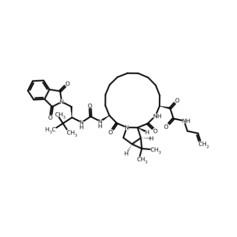 C=CCNC(=O)C(=O)[C@@H]1CCCCCCCCC[C@H](NC(=O)N[C@H](CN2C(=O)c3ccccc3C2=O)C(C)(C)C)C(=O)N2C[C@H]3[C@@H]([C@H]2C(=O)N1)C3(C)C